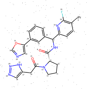 CC(C)c1ccc(C(NC(=O)[C@@H]2CCCN2C(=O)Cc2cnn[nH]2)c2cccc(-c3cnco3)c2)nc1F